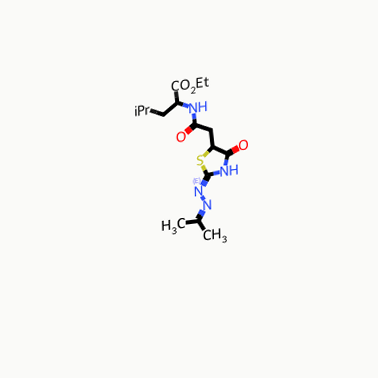 CCOC(=O)C(CC(C)C)NC(=O)CC1S/C(=N/N=C(C)C)NC1=O